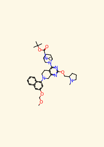 COCOc1cc(N2CCc3c(nc(OCC4CCCN4C)nc3N3CC4CCC3CN4C(=O)OC(C)(C)C)C2)c2ccccc2c1